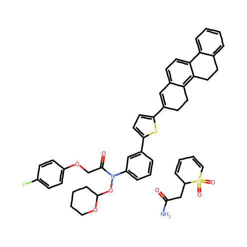 NC(=O)CC1C=CC=CS1(=O)=O.O=C(COc1ccc(F)cc1)N(OC1CCCCO1)c1cccc(-c2ccc(C3=Cc4ccc5c(c4CC3)CCc3ccccc3-5)s2)c1